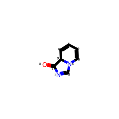 O=C1N=CN2C=CC=CC12